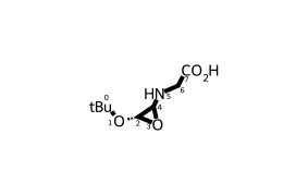 CC(C)(C)O[C@H]1OC1NCC(=O)O